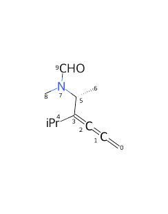 C=C=C=C(C(C)C)[C@@H](C)N(C)C=O